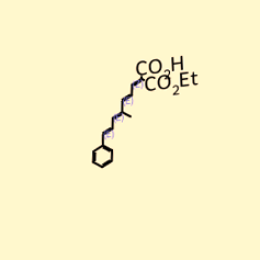 CCOC(=O)\C(=C/C=C/C(C)=C/C=C/c1ccccc1)C(=O)O